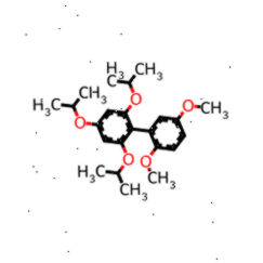 COc1ccc(OC)c(-c2c(OC(C)C)cc(OC(C)C)cc2OC(C)C)c1